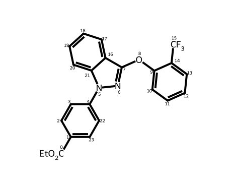 CCOC(=O)c1ccc(-n2nc(Oc3ccccc3C(F)(F)F)c3ccccc32)cc1